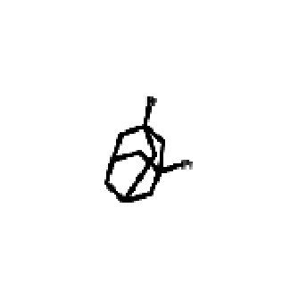 CC(C)C12CC3CC(CC(Br)(C3)C1)C2